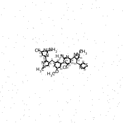 COc1cc(Cc2cn(C)nc2-c2cc(Cl)nc(N)n2)cc(-[n+]2c(Cl)cc(-c3nn(C)cc3Cc3cscn3)nc2N)c1